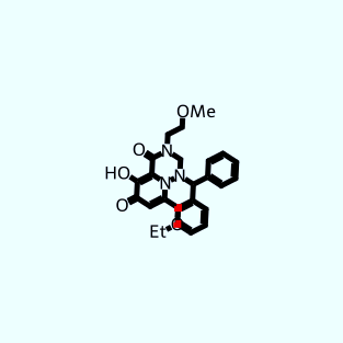 CCOCc1cc(=O)c(O)c2n1N(C(c1ccccc1)c1ccccc1)CN(CCOC)C2=O